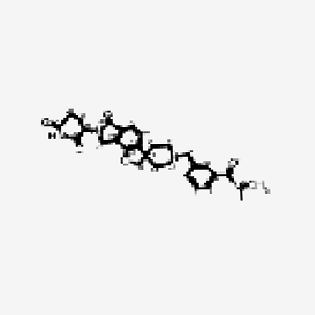 CNC(=O)c1cccc(CN2CCC3(CC2)COc2c3ccc3c2CN(C2CCC(=O)NC2=O)C3=O)c1